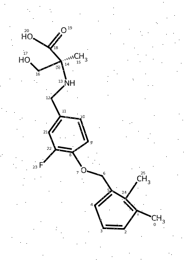 Cc1cccc(COc2ccc(CN[C@@](C)(CO)C(=O)O)cc2F)c1C